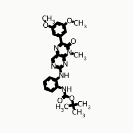 COc1cc(OC)cc(-c2nc3cnc(Nc4ccccc4NC(=O)OC(C)(C)C)nc3n(C)c2=O)c1